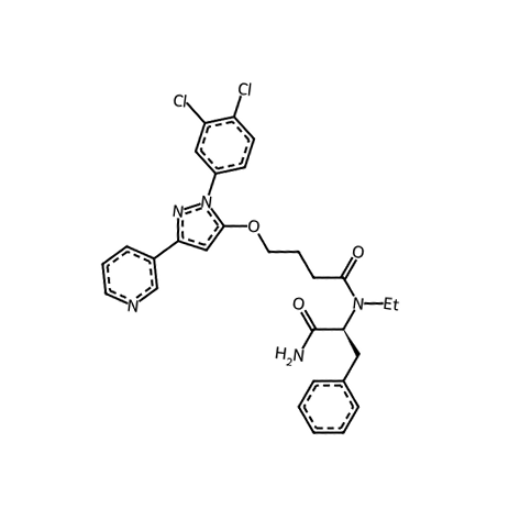 CCN(C(=O)CCCOc1cc(-c2cccnc2)nn1-c1ccc(Cl)c(Cl)c1)[C@@H](Cc1ccccc1)C(N)=O